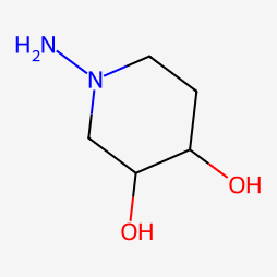 NN1CCC(O)C(O)C1